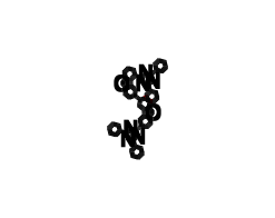 c1ccc(-c2nc(-c3ccccc3)nc(-c3ccc4oc5ccc(-c6ccc7oc8cccc(-c9nc(-c%10ccccc%10)nc(-c%10ccccc%10)n9)c8c7c6)cc5c4c3)n2)cc1